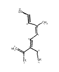 C=C(CC)/C(=C/C=C(C)\C=C\CC)CS